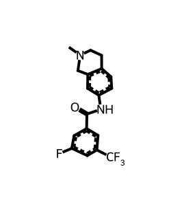 CN1CCc2ccc(NC(=O)c3cc(F)cc(C(F)(F)F)c3)cc2C1